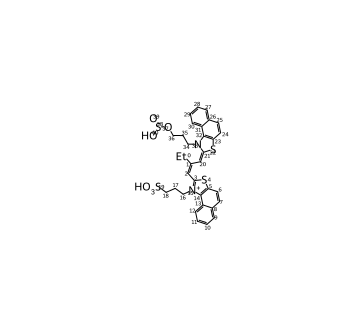 CCC(=Cc1sc2ccc3ccccc3c2[n+]1CCCS(=O)(=O)O)C=C1Sc2ccc3ccccc3c2N1CCCOS(=O)O